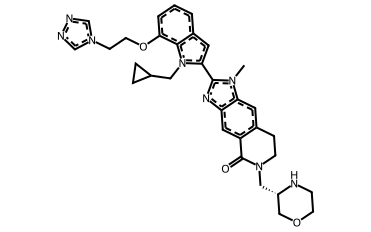 Cn1c(-c2cc3cccc(OCCn4cnnc4)c3n2CC2CC2)nc2cc3c(cc21)CCN(C[C@H]1COCCN1)C3=O